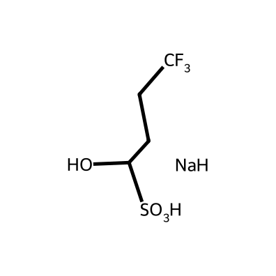 O=S(=O)(O)C(O)CCC(F)(F)F.[NaH]